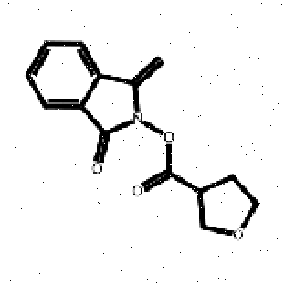 C=C1c2ccccc2C(=O)N1OC(=O)C1CCOC1